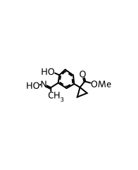 COC(=O)C1(c2ccc(O)c(C(C)=NO)c2)CC1